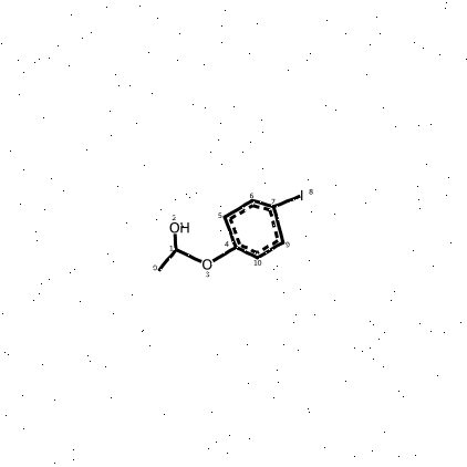 CC(O)Oc1ccc(I)cc1